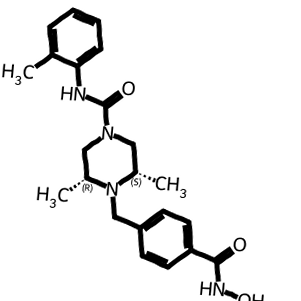 Cc1ccccc1NC(=O)N1C[C@@H](C)N(Cc2ccc(C(=O)NO)cc2)[C@@H](C)C1